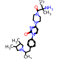 CC1CN(C(C)Cc2ccc(-n3ccc(N4CCN(C(=O)C(C)(C)N)CC4)nc3=O)cc2)CC1C